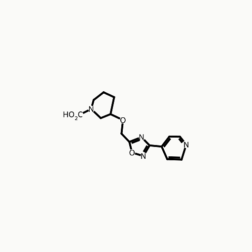 O=C(O)N1CCCC(OCc2nc(-c3ccncc3)no2)C1